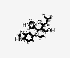 C=CN(c1ccc2[nH]cnc2c1)C(/C(=C/O)C(=O)CC(C)C)c1c[nH]cn1